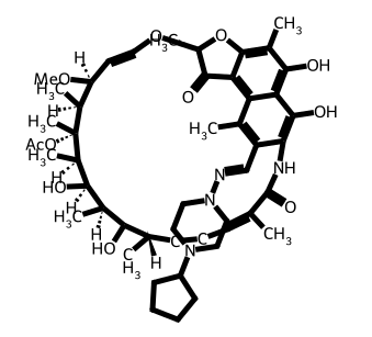 CO[C@H]1/C=C/O[C@@]2(C)Oc3c(C)c(O)c4c(O)c(c(/C=N/N5CCN(C6CCCC6)CC5)c(C)c4c3C2=O)NC(=O)/C(C)=C\CC[C@H](C)C(O)[C@@H](C)[C@@H](O)[C@@H](C)[C@](C)(OC(C)=O)[C@H]1C